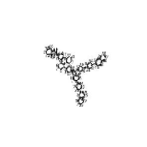 c1ccc(-c2ccccc2-c2ccc(-n3c4ccc(-c5ccc(-c6ccc7ccccc7c6)cc5)cc4c4cc(-c5ccc(-c6ccc7ccccc7c6)cc5)ccc43)cc2)c(-c2ccc(-c3nc4ccccc4o3)cc2)c1